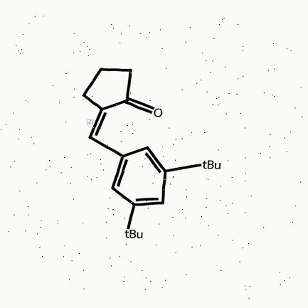 CC(C)(C)c1cc(/C=C2/CCCC2=O)cc(C(C)(C)C)c1